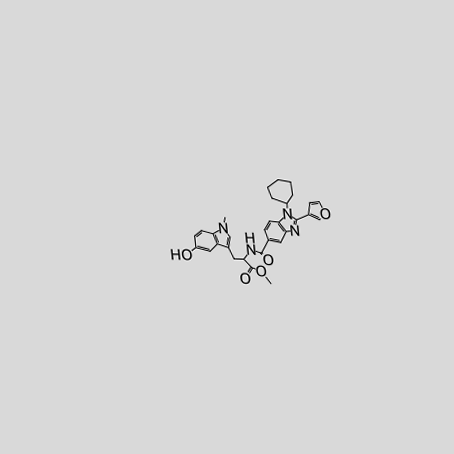 COC(=O)C(Cc1cn(C)c2ccc(O)cc12)NC(=O)c1ccc2c(c1)nc(-c1ccoc1)n2C1CCCCC1